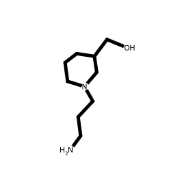 NCCCN1CCCC(CO)C1